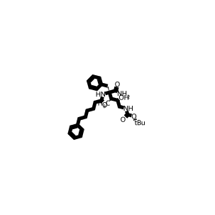 C[C@@H](C(O)CNC(=O)OC(C)(C)C)[C@@](Cc1ccccc1)(NC(=O)CCCCCc1ccccc1)C(N)=O